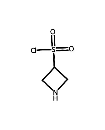 O=S(=O)(Cl)C1CNC1